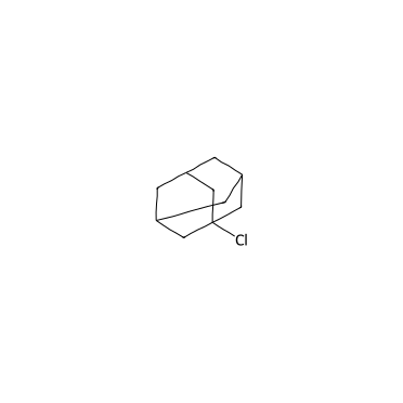 ClC12CC3CC(CC(C3)C1)C2